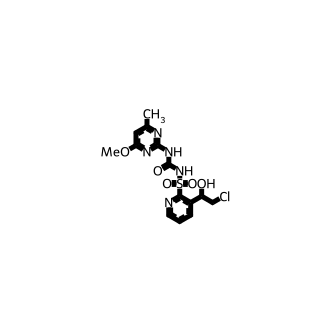 COc1cc(C)nc(NC(=O)NS(=O)(=O)c2ncccc2C(O)CCl)n1